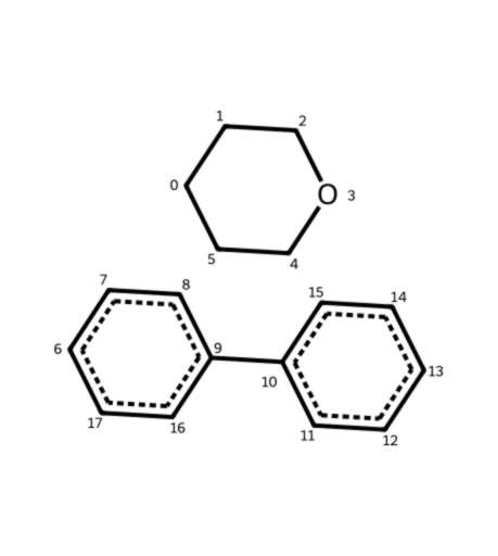 C1CCOCC1.c1ccc(-c2ccccc2)cc1